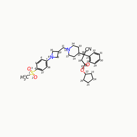 CS(=O)(=O)c1ccc(N2CC(CN3CCC([C@@](C#N)(CC(=O)OC4CCCC4)c4ccccc4)CC3)C2)cc1